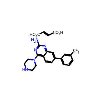 Nc1nc(N2CCNCC2)c2ccc(-c3cccc(C(F)(F)F)c3)cc2n1.O=C(O)/C=C/C(=O)O